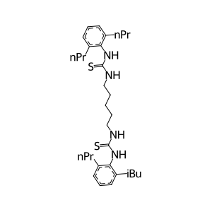 CCCc1cccc(CCC)c1NC(=S)NCCCCCNC(=S)Nc1c(CCC)cccc1C(C)CC